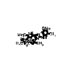 COc1cc(C)cc(Nc2ncc(-c3cnc(OC)c(C(=O)NS(C)(=O)=O)c3)c(N3NC(C(F)(F)F)C=C3C)n2)c1